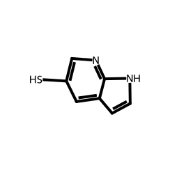 Sc1cnc2[nH]ccc2c1